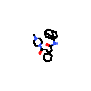 CN1CCN(C(=O)CC2(CC(=O)NC3C4CC5CC(C4)CC3C5)CCCCC2)CC1